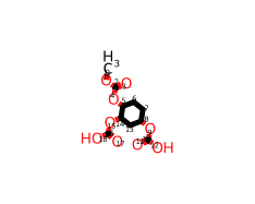 COC(=O)OC1CCC(OC(=O)O)CC1OC(=O)O